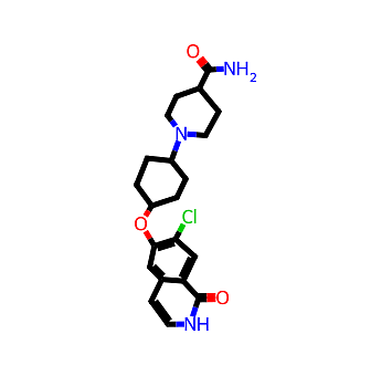 NC(=O)C1CCN(C2CCC(Oc3cc4cc[nH]c(=O)c4cc3Cl)CC2)CC1